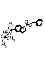 CC(=N[S+]([O-])C(C)(C)C)c1ccc2c(c1)CCN2C(=O)OCc1ccccc1